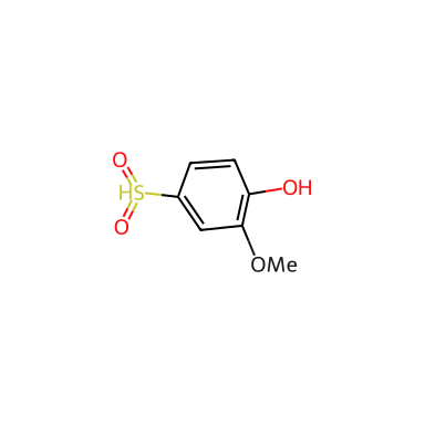 COc1cc([SH](=O)=O)ccc1O